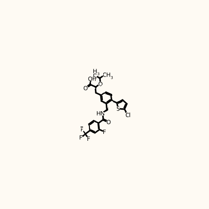 CC(C)OC(Cc1ccc(-c2ccc(Cl)s2)c(CNC(=O)c2ccc(C(F)(F)F)cc2F)c1)C(=O)O